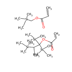 C=CC(=O)OC(C(C)[Si](C)(C)C)([Si](C)(C)C)[Si](C)(C)C.C=CC(=O)OC[Si](C)(C)C